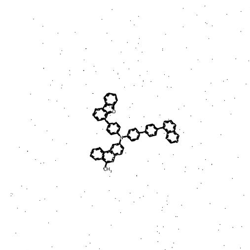 Cc1cc2ccc(N(c3ccc(-c4ccc(-c5cccc6ccccc56)cc4)cc3)c3ccc(-c4cccc5c4oc4ccccc45)cc3)cc2c2ccccc12